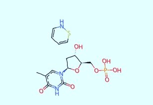 C1=CNSC=C1.Cc1cn([C@H]2C[C@H](O)[C@@H](COP(=O)(O)O)O2)c(=O)[nH]c1=O